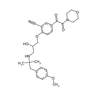 COc1ccc(CC(C)(C)NCC(O)COc2ccc(C(=O)C(=O)N3CCOCC3)cc2C#N)cc1